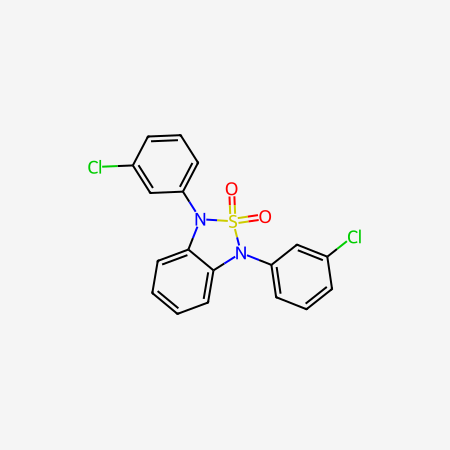 O=S1(=O)N(c2cccc(Cl)c2)c2ccccc2N1c1cccc(Cl)c1